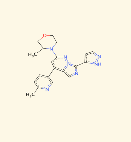 Cc1ccc(-c2cc(N3CCOCC3C)nn3c(-c4ccn[nH]4)ncc23)cn1